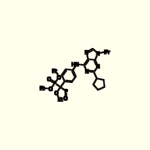 CCOC(P=O)(c1ccc(Nc2nc(C3CCCC3)nc3c2ncn3C(C)C)cc1)P(=O)(OCC)OCC